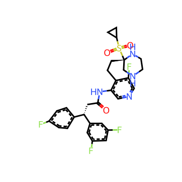 O=C(C[C@@H](c1ccc(F)cc1)c1cc(F)cc(F)c1)Nc1cncc(F)c1CC[C@]1(S(=O)(=O)C2CC2)CNCCN1